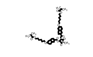 C=C(C)C(=O)OCCCCCCOc1ccc2cc(C(=O)C[C@H]3C(=O)N(C)C(=O)[C@@H]3OC(=O)c3ccc4cc(OCCCCCCOC(=O)C(=C)C)ccc4c3)ccc2c1